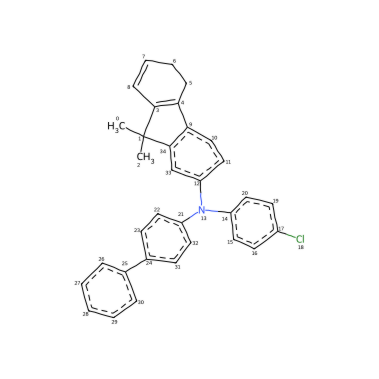 CC1(C)C2=C(CCC=C2)c2ccc(N(c3ccc(Cl)cc3)c3ccc(-c4ccccc4)cc3)cc21